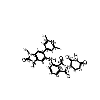 Cc1cc(-c2cc3c(cc2Nc2cccc4c2C(=O)N([C@H]2CCC(=O)NC2=O)C4=O)n(C)c(=O)n3C)cc(C)n1